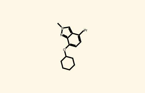 CC(C)c1ccc(OC2CCCCC2)c2nn(C)cc12